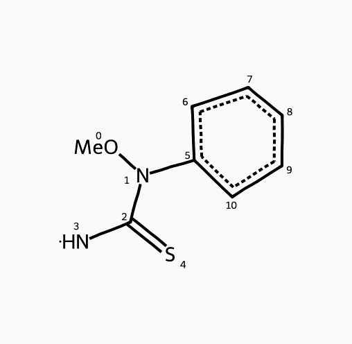 CON(C([NH])=S)c1ccccc1